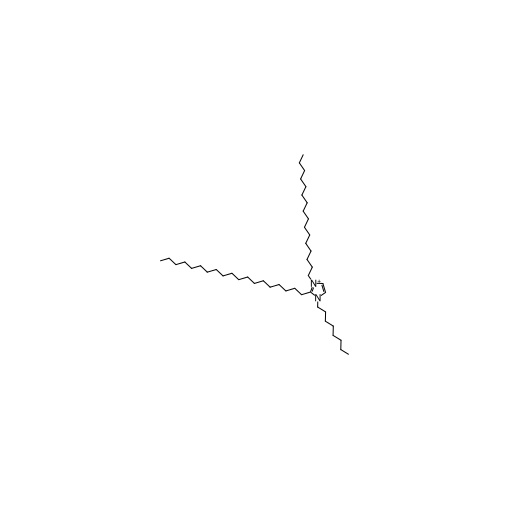 CCCCCCCCCCCCCCCCCCCc1n(CCCCCCCC)cc[n+]1CCCCCCCCCCCCCCCC